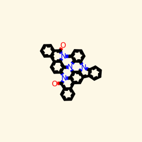 O=c1c2ccccc2c2ccc3c4c2n1c1cccc2c1n4c1c4c(cc5c6ccccc6n2c51)c1ccccc1c(=O)n34